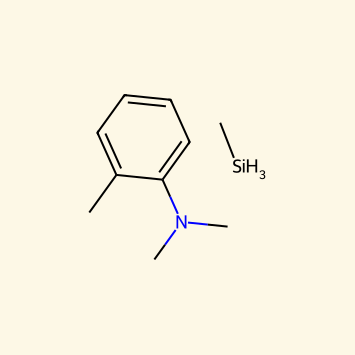 C[SiH3].Cc1ccccc1N(C)C